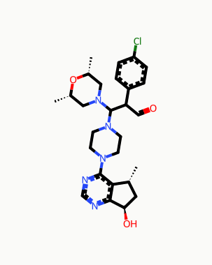 C[C@@H]1CN(C(C(C=O)c2ccc(Cl)cc2)N2CCN(c3ncnc4c3[C@H](C)C[C@H]4O)CC2)C[C@H](C)O1